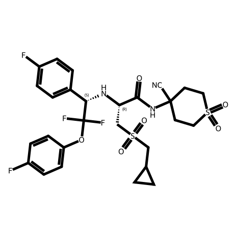 N#CC1(NC(=O)[C@H](CS(=O)(=O)CC2CC2)N[C@@H](c2ccc(F)cc2)C(F)(F)Oc2ccc(F)cc2)CCS(=O)(=O)CC1